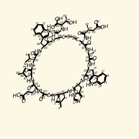 CC(C)C[C@@H]1NC(=O)[C@H](Cc2cnc[nH]2)NC(=O)[C@H](Cc2c[nH]c3ccccc23)NC(=O)[C@H](C)NC(=O)[C@@H](NC(=O)[C@@H](C)CC(=O)O)CSSC[C@@H](C(=O)N[C@H](C(=O)O)[C@@H](C)O)NC(=O)[C@H](Cc2c[nH]c3ccccc23)NC(=O)[C@H](C(C)C)NC(=O)[C@H](CC(C)C)NC(=O)[C@H](CCC(=O)O)NC(=O)CNC1=O